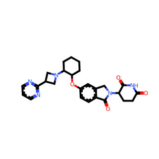 O=C1CCC(N2Cc3cc(OC4CCCCC4N4CC(c5ncccn5)C4)ccc3C2=O)C(=O)N1